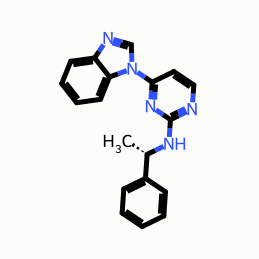 C[C@H](Nc1nccc(-n2cnc3ccccc32)n1)c1ccccc1